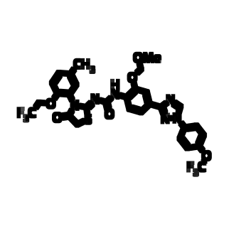 COCOc1cc(-c2ncn(-c3ccc(OC(F)(F)F)cc3)n2)ccc1NC(=O)N=C1SCC(=O)N1c1cc(C)ccc1OCC(F)(F)F